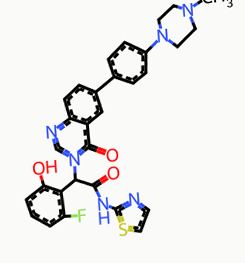 CN1CCN(c2ccc(-c3ccc4ncn(C(C(=O)Nc5nccs5)c5c(O)cccc5F)c(=O)c4c3)cc2)CC1